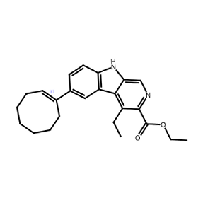 CCOC(=O)c1ncc2[nH]c3ccc(/C4=C/CCCCCC4)cc3c2c1CC